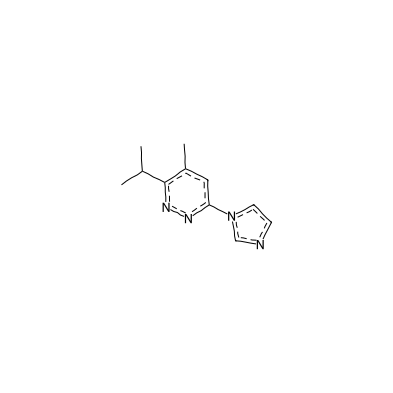 Cc1cc(-n2ccnc2)nnc1C(C)C